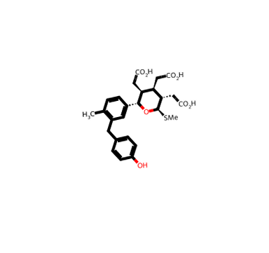 CS[C@H]1O[C@H](c2ccc(C)c(Cc3ccc(O)cc3)c2)[C@@H](CC(=O)O)[C@@H](CC(=O)O)[C@@H]1CC(=O)O